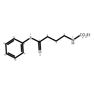 CCOC(=O)NCCCC(=O)Sc1ccccc1